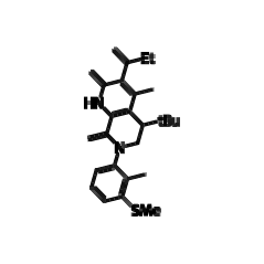 C=C(CC)C1=C(C)C2=C(NC1=C)C(=C)N(c1cccc(SC)c1C)CC2C(C)(C)C